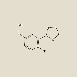 Fc1ccc(SS)cc1C1OCCO1